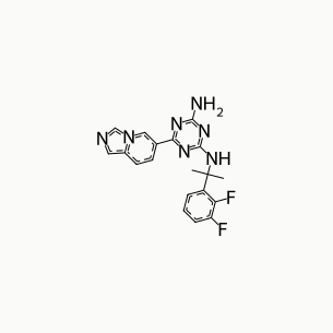 CC(C)(Nc1nc(N)nc(-c2ccc3cncn3c2)n1)c1cccc(F)c1F